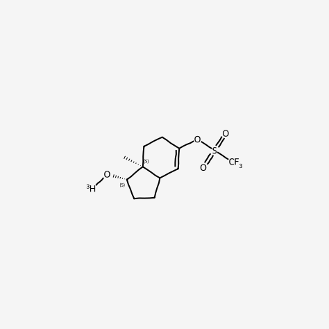 [3H]O[C@H]1CCC2C=C(OS(=O)(=O)C(F)(F)F)CC[C@@]21C